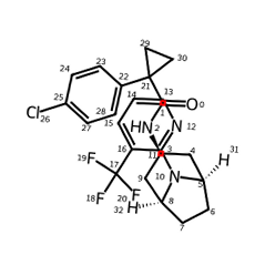 O=C(N[C@H]1C[C@H]2CC[C@@H](C1)N2c1ncccc1C(F)(F)F)C1(c2ccc(Cl)cc2)CC1